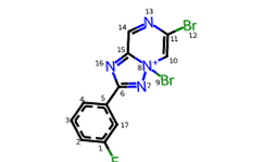 Fc1cccc(C2=N[N+]3(Br)C=C(Br)N=CC3=N2)c1